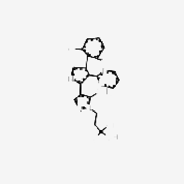 Cc1c(-c2[nH]cc(-c3c(F)cccc3Cl)c2-c2ncccn2)cnn1CCC(C)(C)O